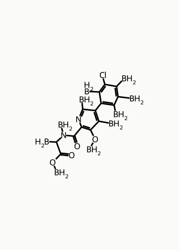 BOC(=O)C(B)N(B)C(=O)c1nc(B)c(-c2c(B)c(B)c(B)c(Cl)c2B)c(B)c1OB